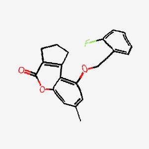 Cc1cc(OCc2ccccc2F)c2c3c(c(=O)oc2c1)CCC3